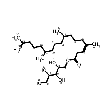 CC(=CCC(=O)OC[C@H](O)[C@@H](O)[C@H](O)CO)CCCC(C)CCCC(C)CCCC(C)C